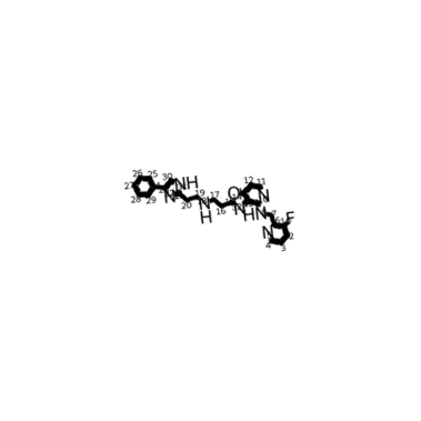 Fc1cccnc1CNc1nccc2oc(CCNCCc3nc(-c4ccccc4)c[nH]3)nc12